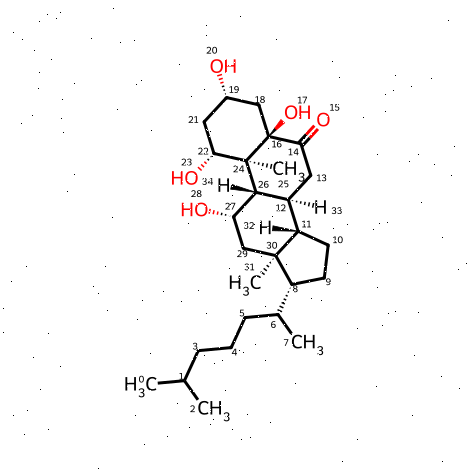 CC(C)CCCC(C)[C@H]1CC[C@H]2[C@@H]3CC(=O)[C@@]4(O)C[C@@H](O)C[C@@H](O)[C@]4(C)[C@H]3[C@@H](O)C[C@]12C